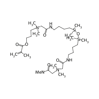 C=C(C)C(=O)OCCC[N+](C)(C)CC(=O)NCCCC[Si](C)(C)O[Si](C)(C)CCCCNC(=O)C[N+](C)(C)CC(=O)NC